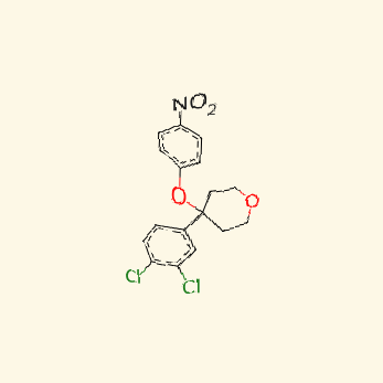 O=[N+]([O-])c1ccc(OC2(c3ccc(Cl)c(Cl)c3)CCOCC2)cc1